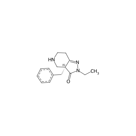 CCN1N=C2CCNC[C@]2(Cc2ccccc2)C1=O